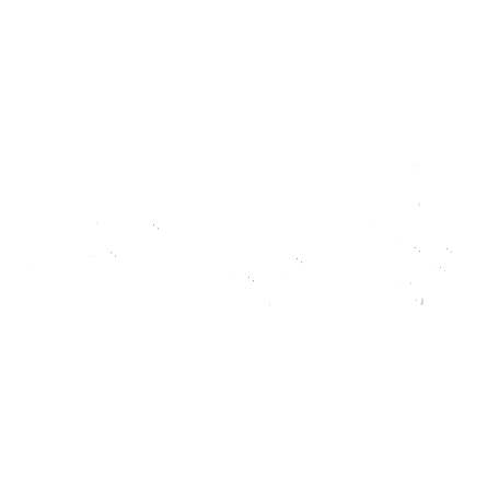 CCNC(=O)c1nnc(-c2cc(C(C)C)c(O)cc2O)n1-c1ccc(OC2CCN(C(=O)CN(C)C(=O)Oc3ccc4nc5c(c(CC)c4c3)Cn3c-5cc(C)c(COC)c3=O)CC2)cc1